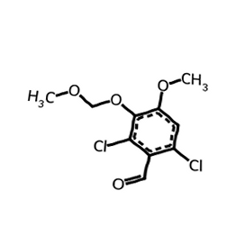 COCOc1c(OC)cc(Cl)c(C=O)c1Cl